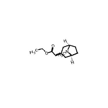 CCOC(=O)C=C1C[C@H]2CC[C@@H](C1)N2C